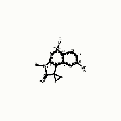 CN1C(=O)C2(CC2)c2c1c[n+]([O-])c1ccc(Br)cc21